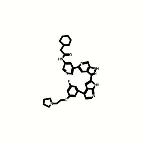 O=C(CC1CCCCC1)Nc1cncc(-c2cc3c(-c4cc5c(-c6cc(F)cc(OCCN7CCCC7)c6)ccnc5[nH]4)n[nH]c3cn2)c1